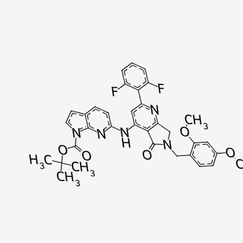 COc1ccc(CN2Cc3nc(-c4c(F)cccc4F)cc(Nc4ccc5ccn(C(=O)OC(C)(C)C)c5n4)c3C2=O)c(OC)c1